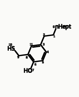 CCCCCCCCCc1ccc(O)c(CS)c1